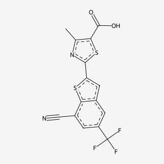 Cc1nc(-c2cc3cc(C(F)(F)F)cc(C#N)c3s2)sc1C(=O)O